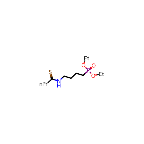 CCCC(=S)NCCCCP(=O)(OCC)OCC